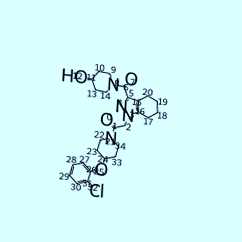 O=C(Cn1nc(C(=O)N2CCC(O)CC2)c2c1CCCC2)N1CCC(Oc2ccccc2Cl)CC1